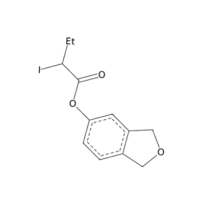 CCC(I)C(=O)Oc1ccc2c(c1)COC2